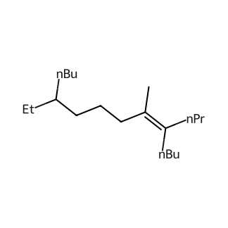 CCCCC(CCC)=C(C)CCCC(CC)CCCC